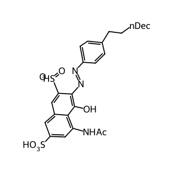 CCCCCCCCCCCCc1ccc(/N=N/c2c([SH](=O)=O)cc3cc(S(=O)(=O)O)cc(NC(C)=O)c3c2O)cc1